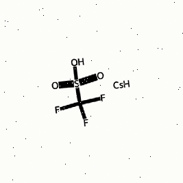 O=S(=O)(O)C(F)(F)F.[CsH]